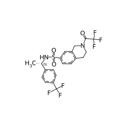 C[C@H](NS(=O)(=O)c1ccc2c(c1)CN(C(=O)C(F)(F)F)CC2)c1ccc(C(F)(F)F)cc1